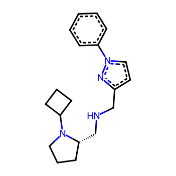 c1ccc(-n2ccc(CNC[C@@H]3CCCN3C3CCC3)n2)cc1